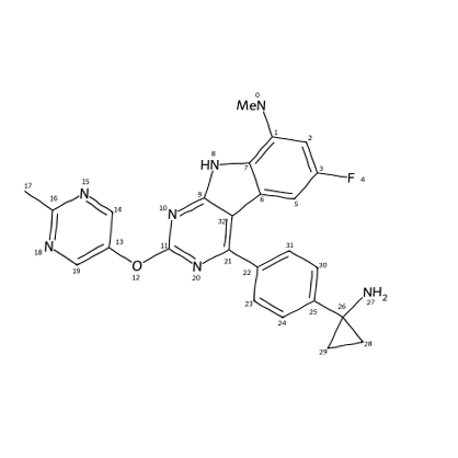 CNc1cc(F)cc2c1[nH]c1nc(Oc3cnc(C)nc3)nc(-c3ccc(C4(N)CC4)cc3)c12